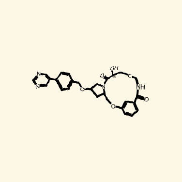 O=C1NCCC[C@H](O)C(=O)N2CC(OCc3ccc(-c4cncnc4)cc3)CC2COc2cccc1c2